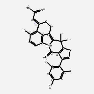 CC1(F)c2onc(-c3c(Cl)cc(Cl)cc3Cl)c2C(=O)n2c1c1c3c(c(F)ccc32)/C(=C/C(=O)O)CC1